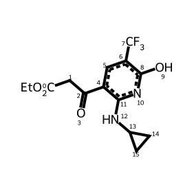 CCOC(=O)CC(=O)c1cc(C(F)(F)F)c(O)nc1NC1CC1